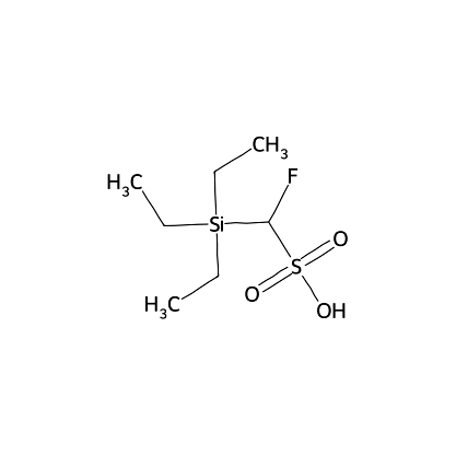 CC[Si](CC)(CC)C(F)S(=O)(=O)O